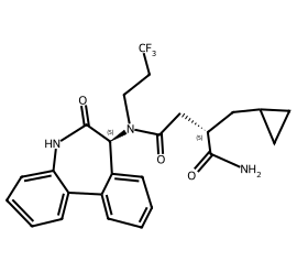 NC(=O)[C@H](CC(=O)N(CCC(F)(F)F)[C@@H]1C(=O)Nc2ccccc2-c2ccccc21)CC1CC1